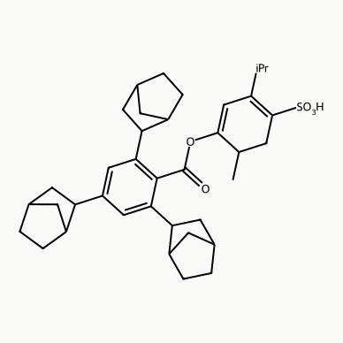 CC(C)C1=C(S(=O)(=O)O)CC(C)C(OC(=O)c2c(C3CC4CCC3C4)cc(C3CC4CCC3C4)cc2C2CC3CCC2C3)=C1